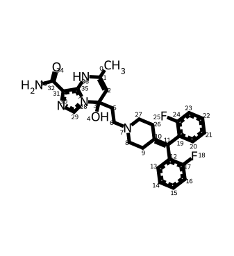 CC1=CC(O)(CCN2CCC(=C(c3ccccc3F)c3ccccc3F)CC2)n2cnc(C(N)=O)c2N1